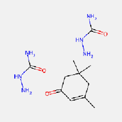 CC1=CC(=O)CC(C)(C)C1.NNC(N)=O.NNC(N)=O